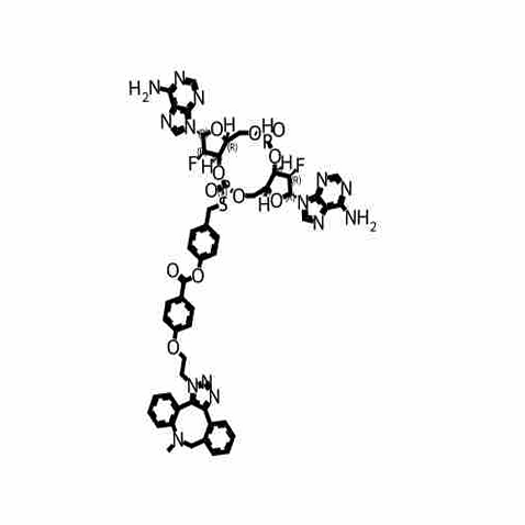 CN1Cc2ccccc2-c2nnn(CCOc3ccc(C(=O)Oc4ccc(CS[P@@]5(=O)OC[C@H]6O[C@@H](n7cnc8c(N)ncnc87)[C@H](F)[C@@H]6O[PH](=O)OC[C@H]6O[C@@H](n7cnc8c(N)ncnc87)[C@H](F)[C@@H]6O5)cc4)cc3)c2-c2ccccc21